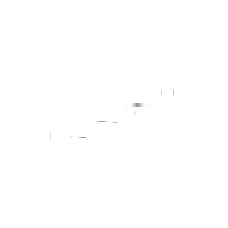 CCC/C=C/CCCO